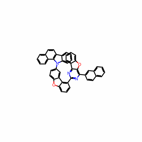 c1ccc2cc(-c3nc(-c4cccc5oc6ccc(-n7c8ccccc8c8ccc9ccccc9c87)cc6c45)nc4c3oc3ccccc34)ccc2c1